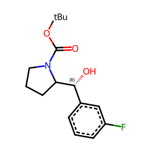 CC(C)(C)OC(=O)N1CCCC1[C@H](O)c1cccc(F)c1